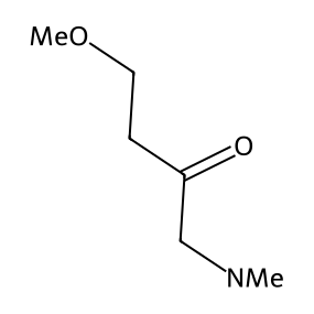 CNCC(=O)CCOC